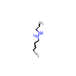 [CH2]CCCCNNCC=C